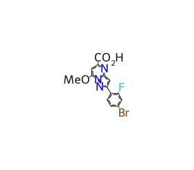 COc1cc(C(=O)O)nc2cc(-c3ccc(Br)cc3F)nn12